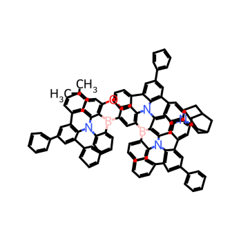 CC(C)c1cc2c3c(c1)N(c1c(-c4ccccc4)cc(-c4ccccc4)cc1-c1ccccc1)c1ccccc1B3c1cc3c(cc1O2)N(c1c(-c2ccccc2)cc(-c2ccccc2)cc1-c1ccccc1)c1cc(N2C4CC5CC(C4)CC2C5)cc2c1B3c1ccccc1N2c1c(-c2ccccc2)cc(-c2ccccc2)cc1-c1ccccc1